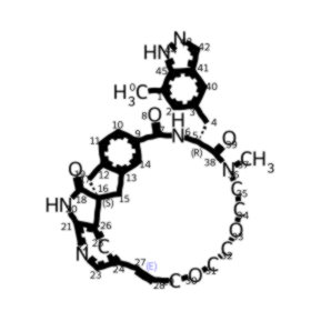 Cc1cc(C[C@H]2NC(=O)c3ccc4c(c3)C[C@]3(C4)C(=O)Nc4ncc(cc43)/C=C/COCCOCCN(C)C2=O)cc2cn[nH]c12